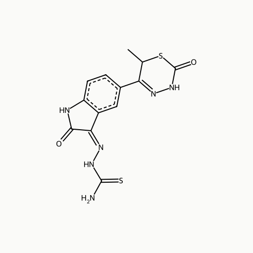 CC1SC(=O)NN=C1c1ccc2c(c1)C(=NNC(N)=S)C(=O)N2